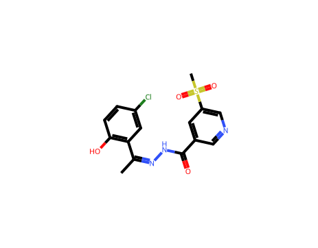 CC(=NNC(=O)c1cncc(S(C)(=O)=O)c1)c1cc(Cl)ccc1O